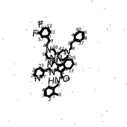 Cc1ccccc1CNC(=O)C1=C2CCCCC2=C2C1=NC(c1cccnc1)=N[N+]2(N1CCN(CCc2ccccc2)CC1)N1CCN(CCc2ccc(F)c(F)c2)CC1